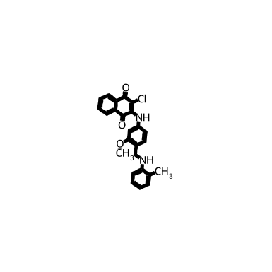 COc1cc(NC2=C(Cl)C(=O)c3ccccc3C2=O)ccc1CNc1ccccc1C